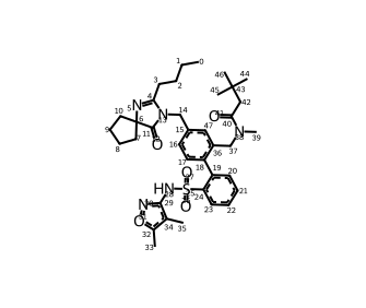 CCCCC1=NC2(CCCC2)C(=O)N1Cc1ccc(-c2ccccc2S(=O)(=O)Nc2noc(C)c2C)c(CN(C)C(=O)CC(C)(C)C)c1